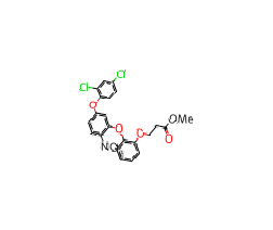 COC(=O)CCOc1ccccc1Oc1cc(Oc2ccc(Cl)cc2Cl)ccc1[N+](=O)[O-]